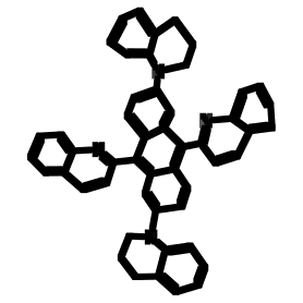 c1ccc2c(c1)CCCN2c1ccc2c(-c3ccc4ccccc4n3)c3cc(N4CCCc5ccccc54)ccc3c(-c3ccc4ccccc4n3)c2c1